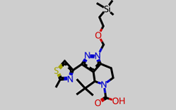 Cc1nc(-c2nn(COCC[Si](C)(C)C)c3c2C(C(C)(C)C)N(C(=O)O)CC3)cs1